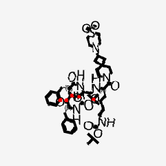 CC(C)CC(NC(=O)[C@@H](Cc1ccccc1)NC(=O)[C@@H](Cc1ccccc1)NC(=O)OC(C)(C)C)C(=O)N[C@H](CCCCNC(=O)OC(C)(C)C)C(=O)N1CCC2(CC1)CC(N1CCS(=O)(=O)CC1)C2